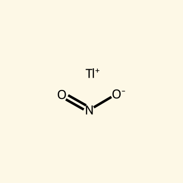 O=N[O-].[Tl+]